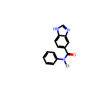 CCN(C(=O)c1ccc2[nH]cnc2c1)c1ccccc1